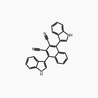 N#Cc1c(C#N)c(-c2c[nH]c3ccccc23)c2ccccc2c1-c1c[nH]c2ccccc12